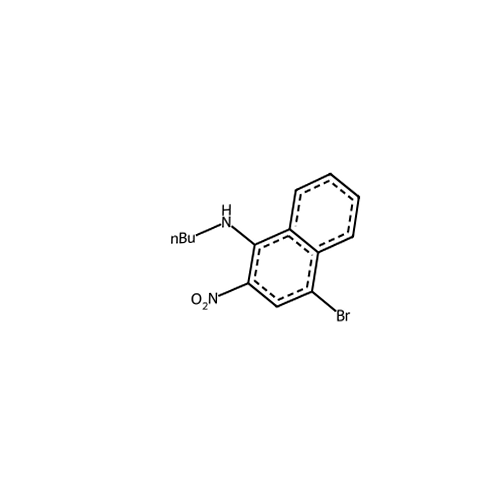 CCCCNc1c([N+](=O)[O-])cc(Br)c2ccccc12